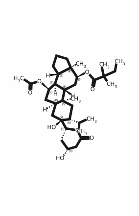 CCC(C)(C)C(=O)O[C@H]1C[C@H]2[C@@H]([C@H](OC(C)=O)C[C@@H]3C[C@@](O)([C@H]4C[C@@H](O)CC(=O)O4)[C@@H](C(C)C)C[C@@]32C)[C@@H]2CCC[C@@]12C